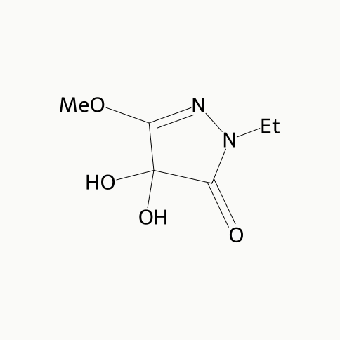 CCN1N=C(OC)C(O)(O)C1=O